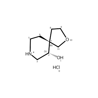 Cl.O[C@@H]1CNCC[C@]12CCOC2